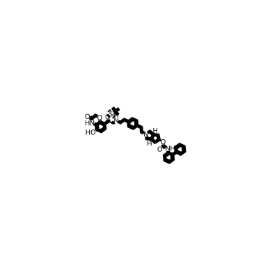 CC(C)(C)[Si](C)(C)O[C@@H](CNCCc1ccc(CCN2C[C@H]3C[C@@H](OC(=O)Nc4ccccc4-c4ccccc4)C[C@H]3C2)cc1)c1ccc(O)c2c1OCC(=O)N2